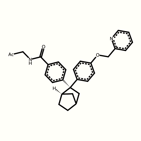 CC(=O)CNC(=O)c1ccc([C@]2(c3ccc(OCc4ccccn4)cc3)CC3CC[C@@H]2C3)cc1